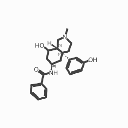 CN1CC[C@@]2(c3cccc(O)c3)C[C@@H](NC(=O)c3ccccc3)CC(O)[C@@H]2C1